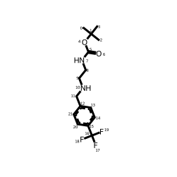 CC(C)(C)OC(=O)NCCNCc1ccc(C(F)(F)F)cc1